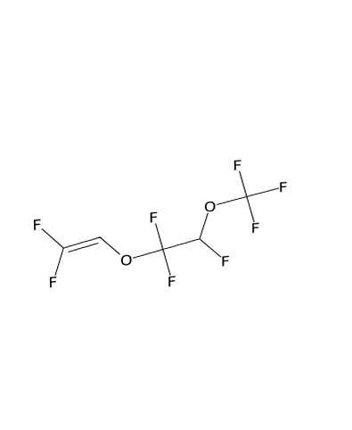 FC(F)=COC(F)(F)C(F)OC(F)(F)F